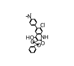 CN(C)c1ccc(-c2cc3c(O)c(S(=O)(=O)c4ccccc4)c(=O)[nH]c3cc2Cl)cc1